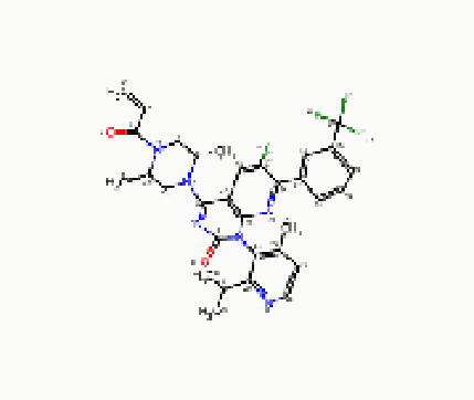 C=CC(=O)N1C[C@H](C)N(c2nc(=O)n(-c3c(C)ccnc3C(C)C)c3nc(-c4cccc(C(F)(F)F)c4)c(Cl)cc23)C[C@H]1C